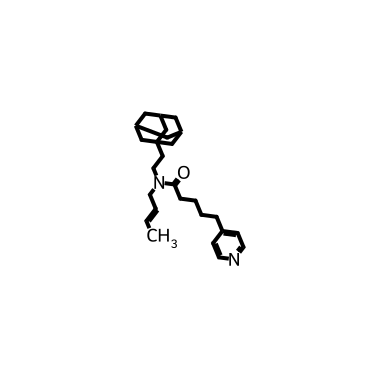 CC=CCN(CCC12CC3CC(CC(C3)C1)C2)C(=O)CCCCc1ccncc1